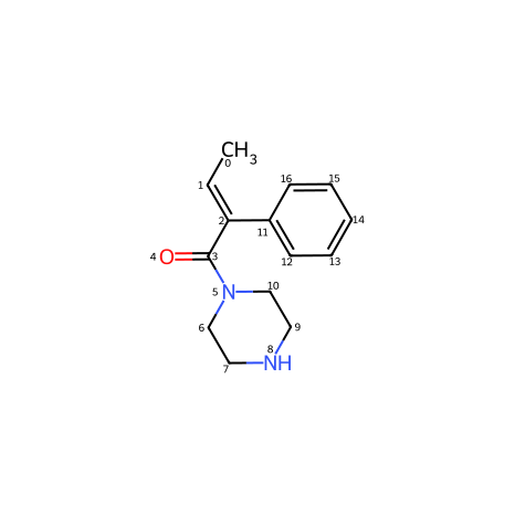 CC=C(C(=O)N1CCNCC1)c1ccccc1